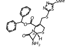 CSc1nnc(SCC2=C(C(=O)OC(c3ccccc3)c3ccccc3)N3C(=O)C(N)[C@H]3SC2)s1